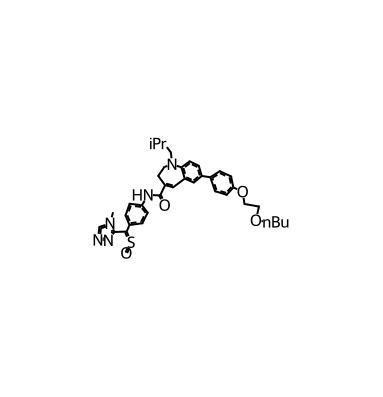 CCCCOCCOc1ccc(-c2ccc3c(c2)C=C(C(=O)Nc2ccc(C(=S=O)c4nncn4C)cc2)CCN3CC(C)C)cc1